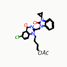 CC(=O)OCCCCn1c(Cn2c(=O)n(C3CC3)c3ccccc32)nc(=O)c2cc(Cl)ccc21